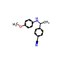 COc1ccc(NC(C)c2ccc(C#N)cc2)cc1